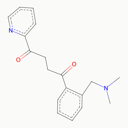 CN(C)Cc1ccccc1C(=O)CCC(=O)c1ccccn1